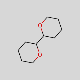 C1CC[C]([C]2CCCCO2)OC1